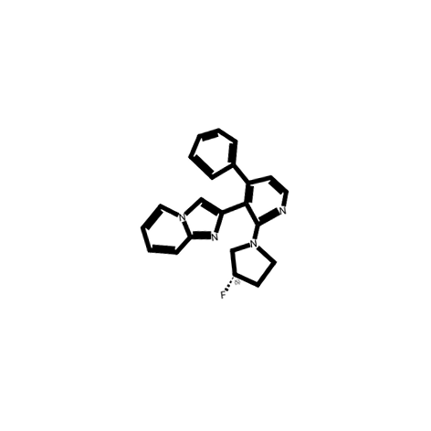 F[C@H]1CCN(c2nccc(-c3ccccc3)c2-c2cn3ccccc3n2)C1